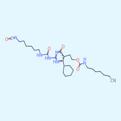 N#CCCCCCCNC(=O)OCCc1c(C2CCCCC2)[nH]c(NC(=O)NCCCCCCN=C=O)nc1=O